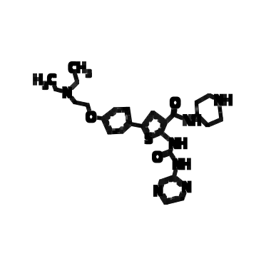 CCN(CC)CCOc1ccc(-c2cc(C(=O)NC3CCNCC3)c(NC(=O)Nc3cnccn3)s2)cc1